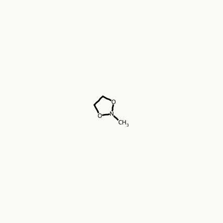 CN1OCCO1